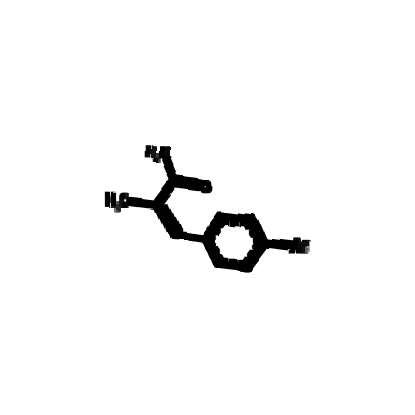 CC(=O)c1ccc(C=C(C)C(N)=O)cc1